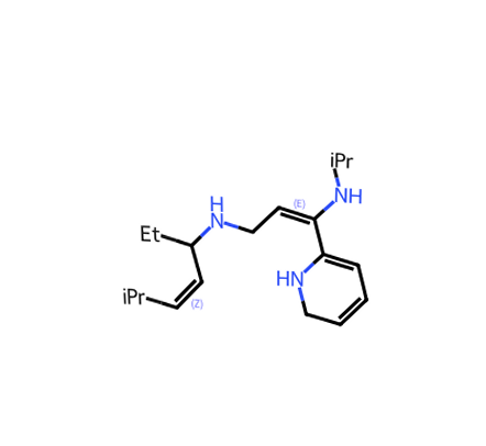 CCC(/C=C\C(C)C)NC/C=C(/NC(C)C)C1=CC=CCN1